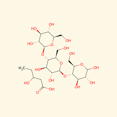 OC[C@H]1O[C@@H](O[C@H]2[C@H](O)[C@@H](O)[C@H](O[C@H]3[C@H](O)[C@@H](O)C(O)O[C@@H]3CO)O[C@@H]2CO)[C@H](O)[C@@H](O)[C@@H]1O.[CH2]CC(O)CC(=O)O